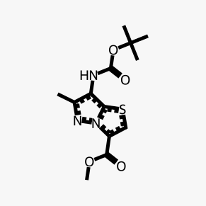 COC(=O)c1csc2c(NC(=O)OC(C)(C)C)c(C)nn12